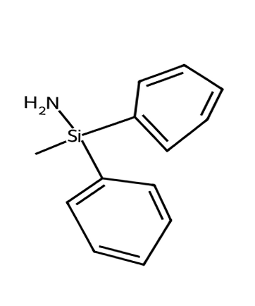 C[Si](N)(c1ccccc1)c1ccccc1